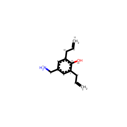 C=CCc1cc(CN)cc(CC=C)c1O